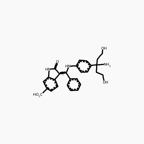 NC(CCO)(CCO)c1ccc(N/C(=C2\C(=O)Nc3cc(C(=O)O)ccc32)c2ccccc2)cc1